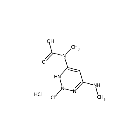 CNC1=NN(Cl)NC(N(C)C(=O)O)=C1.Cl